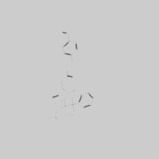 CC[C@](O[SiH](C)C)([C@@H]1C(=O)N(CC(=O)OCc2ccc([N+](=O)[O-])cc2)[C@H]1Sc1ccccc1)C(C)(C)C